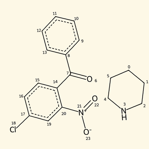 C1CCNCC1.O=C(c1ccccc1)c1ccc(Cl)cc1[N+](=O)[O-]